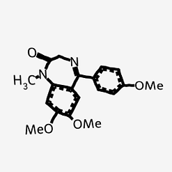 COc1ccc(C2=NCC(=O)N(C)c3cc(OC)c(OC)cc32)cc1